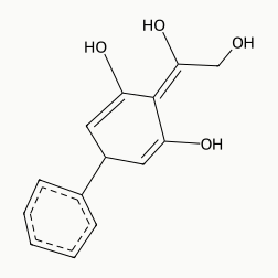 OCC(O)=C1C(O)=CC(c2ccccc2)C=C1O